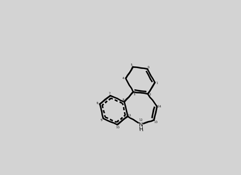 C1=CC2=C(CC1)c1ccccc1NC=C2